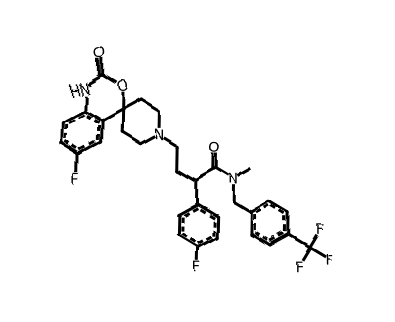 CN(Cc1ccc(C(F)(F)F)cc1)C(=O)C(CCN1CCC2(CC1)OC(=O)Nc1ccc(F)cc12)c1ccc(F)cc1